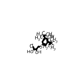 CC(C)(C)c1cc(SCC(O)C(O)Cl)cc(C(C)(C)C)c1O